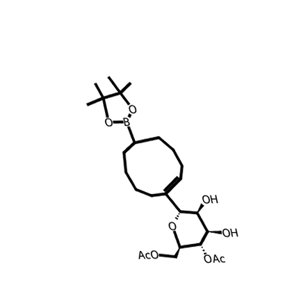 CC(=O)OC[C@H]1O[C@H](/C2=C/CCCC(B3OC(C)(C)C(C)(C)O3)CCCC2)[C@@H](O)[C@@H](O)[C@@H]1OC(C)=O